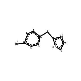 Brc1ccc(Cc2nccs2)cc1